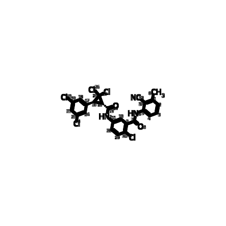 Cc1cccc(NC(=O)c2cc(NC(=O)[C@@H]3[C@@H](c4cc(Cl)cc(Cl)c4)C3(Cl)Cl)ccc2Cl)c1C#N